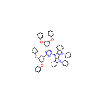 C1=Cc2c(c3c(c4c(c5ccccc5n4-c4ccccc4)n3-c3nc(-c4cc(Oc5ccccc5)cc(Oc5ccccc5)c4)nc(-c4cc(Oc5ccccc5)cc(Oc5ccccc5)c4)n3)n2-c2ccccc2)CC1